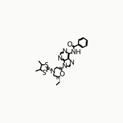 CC[C@@H]1CN(P2SC(C)C(C)S2)C[C@H](n2cnc3c(NC(=O)c4ccccc4)ncnc32)O1